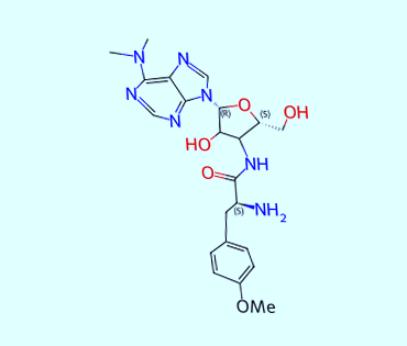 COc1ccc(C[C@H](N)C(=O)NC2C(O)[C@H](n3cnc4c(N(C)C)ncnc43)O[C@@H]2CO)cc1